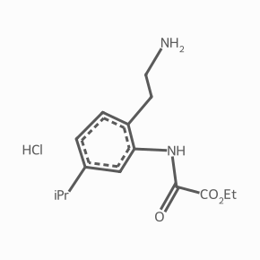 CCOC(=O)C(=O)Nc1cc(C(C)C)ccc1CCN.Cl